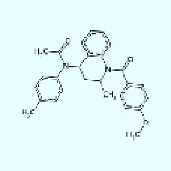 COc1ccc(C(=O)N2c3ccccc3C(N(C(C)=O)c3ccc(C)cc3)CC2C)cc1